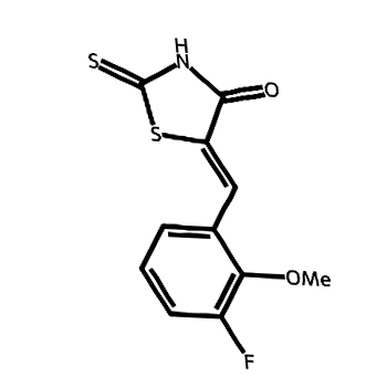 COc1c(F)cccc1C=C1SC(=S)NC1=O